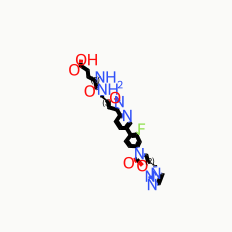 N[C@@H](CCC(=O)O)C(=O)NC[C@@H]1CC(c2ccc(-c3ccc(N4C[C@H](Cn5ccnn5)OC4=O)cc3F)cn2)=NO1